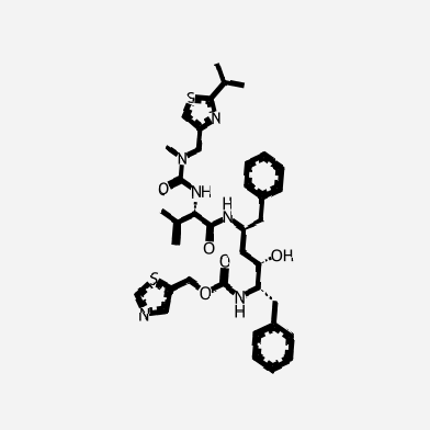 C=C(C)[C@H](NC(=O)N(C)Cc1csc(C(C)C)n1)C(=O)N[C@@H](Cc1ccccc1)C[C@H](O)[C@H](Cc1ccccc1)NC(=O)OCc1cncs1